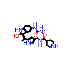 C/C(=C1/c2cc(NC(N)=O)ccc2NC1O)c1cc(CNC(=O)C2CCNCC2)c[nH]1